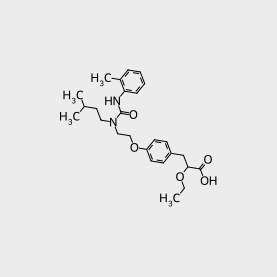 CCOC(Cc1ccc(OCCN(CCC(C)C)C(=O)Nc2ccccc2C)cc1)C(=O)O